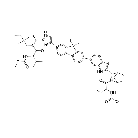 CC[C@@H](c1nc(-c2ccc3c(c2)C(F)(F)c2cc(-c4ccc5nc(C6C7CCC(C7)N6C(=O)C(NC(=O)OC)C(C)C)[nH]c5c4)ccc2-3)c[nH]1)N(CC(C)(C)CC)C(=O)C(NC(=O)OC)C(C)C